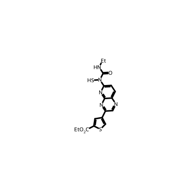 CCNC(=O)N(S)c1ccc2ncc(-c3csc(C(=O)OCC)c3)nc2n1